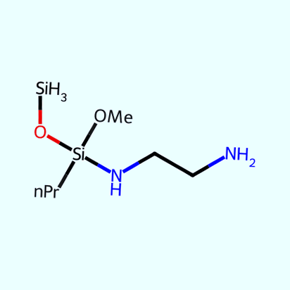 CCC[Si](NCCN)(OC)O[SiH3]